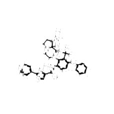 N[C@H]1CCN2CCN(c3c(NC(=O)c4csc(-c5ccnnc5)n4)ccc(Oc4ccccc4)c3C(F)(F)F)C[C@@H]12